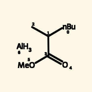 CCCCC(C)C(=O)OC.[AlH3]